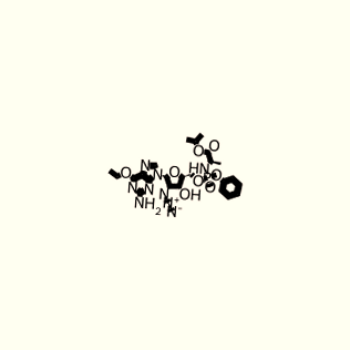 CCOc1nc(N)nc2c1ncn2[C@@H]1O[C@H](CO[P@@](=O)(N[C@H](C)C(=O)OC(C)C)Oc2ccccc2)[C@@H](O)[C@H]1N=[N+]=[N-]